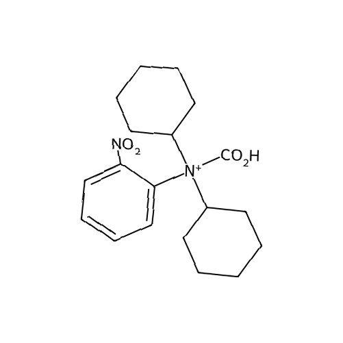 O=C(O)[N+](c1ccccc1[N+](=O)[O-])(C1CCCCC1)C1CCCCC1